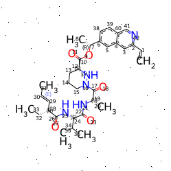 C=Cc1cc2cc([C@@H](C)OC(=O)[C@@H]3CCCN(C(=O)[C@H](C)NC(=O)[C@@H](NC(=O)[C@@H](/C=C/C)CC)C(C)C)N3)ccc2cn1